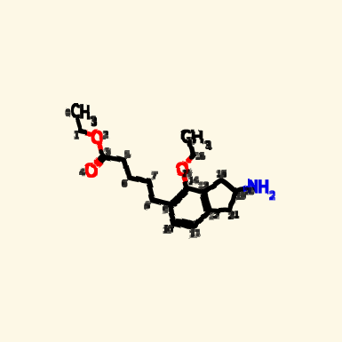 CCOC(=O)CCCCc1ccc2c(c1OCC)CC(N)C2